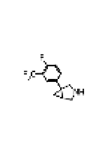 Fc1ccc(C23CNCC2C3)cc1C(F)(F)F